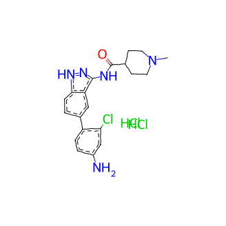 CN1CCC(C(=O)Nc2n[nH]c3ccc(-c4ccc(N)cc4Cl)cc23)CC1.Cl.Cl